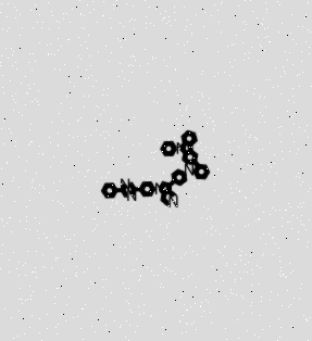 c1ccc(-c2cnc(-c3ccc(-n4cc(-c5ccc(-n6c7ccccc7c7cc8c9ccccc9n(-c9ccccc9)c8cc76)cc5)c5cnccc54)cc3)cn2)cc1